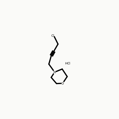 Cl.ClCC#CCN1CCOCC1